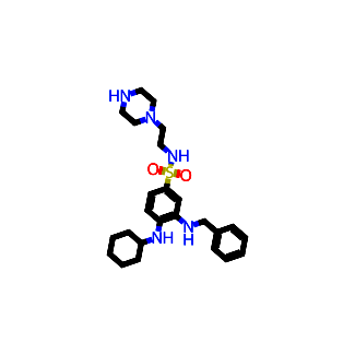 O=S(=O)(NCCN1CCNCC1)c1ccc(NC2CCCCC2)c(NCc2ccccc2)c1